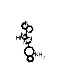 NC1CC[C@H](c2cnc3c(N4CCCc5ncccc54)n[nH]c3n2)CCCc2ccccc21